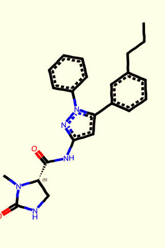 CCCc1cccc(-c2cc(NC(=O)[C@@H]3CNC(=O)N3C)nn2-c2ccccc2)c1